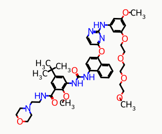 COCCOCCOCCOc1cc(Nc2nccc(Oc3ccc(NC(=O)Nc4cc(C(C)(C)C)cc(C(=O)NCCN5CCOCC5)c4OC)c4ccccc34)n2)cc(OC)c1